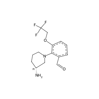 N[C@@H]1CCCN(c2c(C=O)cccc2OCC(F)(F)F)C1